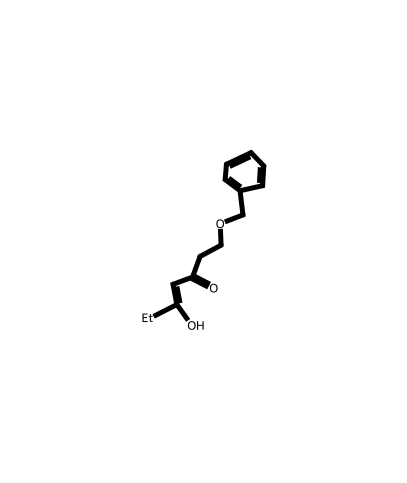 CCC(O)=CC(=O)CCOCc1ccccc1